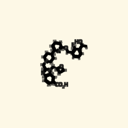 CC(O)c1cccc(COc2cccc(C3CCN(Cc4nc5ccc(C(=O)O)cc5n4C[C@@H]4CCO4)CC3)n2)c1F